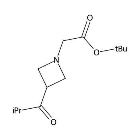 CC(C)C(=O)C1CN(CC(=O)OC(C)(C)C)C1